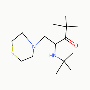 CC(C)(C)NC(CN1CCSCC1)C(=O)C(C)(C)C